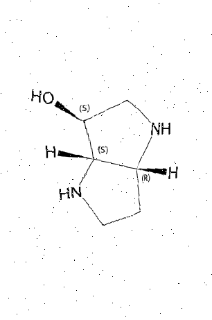 O[C@H]1CN[C@@H]2CCN[C@H]12